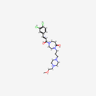 COCCN1CCN(CCCN2CCN(C(=O)/C=C/c3ccc(Cl)c(Cl)c3)CCC2=O)CC1